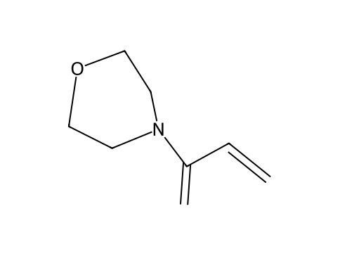 C=CC(=C)N1CCOCC1